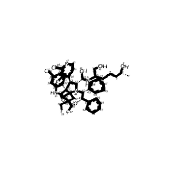 C[C@@H](O)CCCC(CO)NC(O)[C@H]1[C@H](c2ccnc(Cl)c2F)[C@]2(C(=O)Nc3cc(Cl)ccc32)C2(CC(CF)(CF)C2)N1[C@H](c1ccccc1)[C@@H](O)c1ccccc1